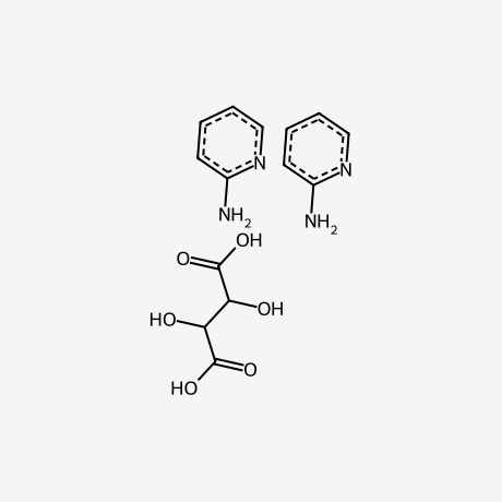 Nc1ccccn1.Nc1ccccn1.O=C(O)C(O)C(O)C(=O)O